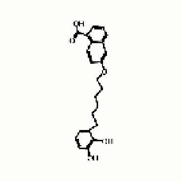 O=C(O)c1cccc2cc(OCCCCCCc3cccc(O)c3O)ccc12